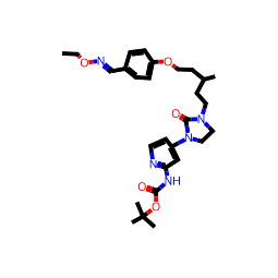 CCO/N=C/c1ccc(OCCC(C)CCN2CCN(c3ccnc(NC(=O)OC(C)(C)C)c3)C2=O)cc1